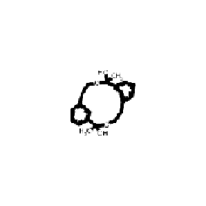 CC1(O)OCCc2cccc(c2)C(C)(O)OCCc2cccc1c2